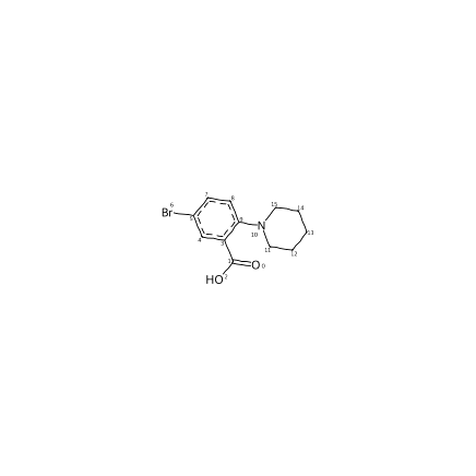 O=C(O)c1cc(Br)ccc1N1CCCCC1